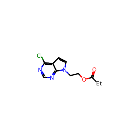 CCC(=O)OCCn1ccc2c(Cl)ncnc21